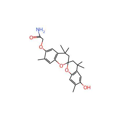 Cc1cc2c(cc1O)C(C)(C)CC1(CC(C)(C)c3cc(OCC(N)=O)c(C)cc3O1)O2